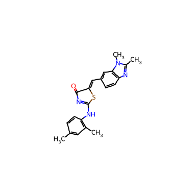 Cc1ccc(NC2=NC(=O)/C(=C/c3ccc4nc(C)n(C)c4c3)S2)c(C)c1